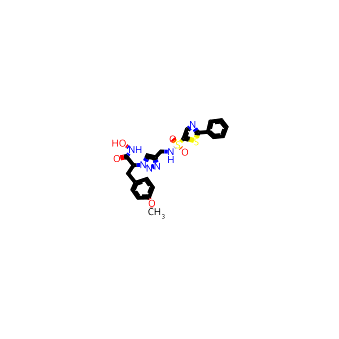 COc1ccc(CC(C(=O)NO)n2cc(CNS(=O)(=O)c3cnc(-c4ccccc4)s3)nn2)cc1